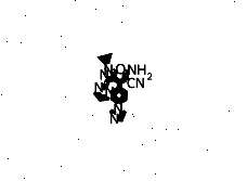 N#CC1=C(N)Oc2c(c(-c3ncccn3)nn2C2CC2)C1c1ccc(-n2ccnc2)cc1